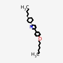 CCCCCCCOc1ccc(-c2ccc([C@H]3CC[C@H](CCCCC)CC3)nc2)cc1